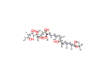 CCC(O)[C@H](C)C(O)CC(=O)[C@H](C)C(O)[C@H](C)C(O)[C@@H](/C=C/C=C(\C)C[C@H](C)C(O)[C@H](C)/C=C(C)/C=C(\C)C(=O)OC(C)(C)C)OC